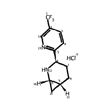 Cl.FC(F)(F)c1ccc([C@H]2CC[C@@H]3C[C@@H]3N2)nc1